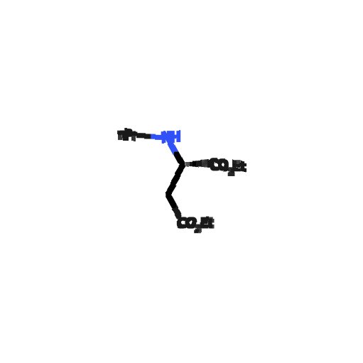 CCCN[C@@H](CC(=O)OCC)C(=O)OCC